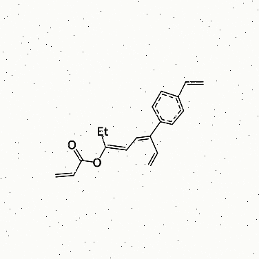 C=CC(=O)O/C(=C/C=C(\C=C)c1ccc(C=C)cc1)CC